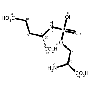 N[C@@H](COP(=O)(O)N[C@@H](CCC(=O)O)C(=O)O)C(=O)O